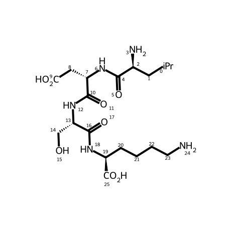 CC(C)C[C@H](N)C(=O)N[C@@H](CC(=O)O)C(=O)N[C@@H](CO)C(=O)N[C@@H](CCCCN)C(=O)O